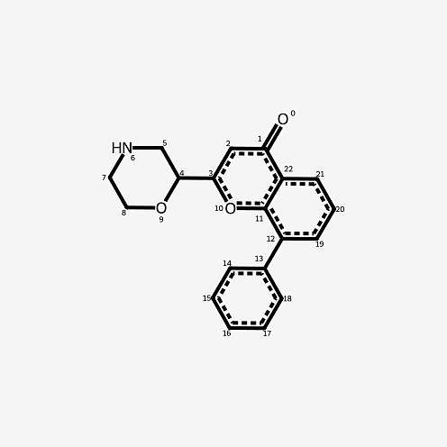 O=c1cc(C2CNCCO2)oc2c(-c3ccccc3)cccc12